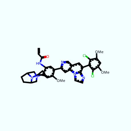 C=CC(=O)Nc1cc(-c2cc3c(cn2)cc(-c2c(Cl)c(OC)cc(OC)c2Cl)c2nccn23)c(OC)cc1N1CC2CCC(C1)N2C1CC1